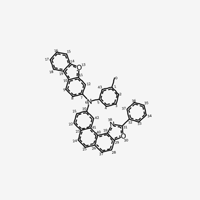 Cc1cccc(N(c2ccc3c(c2)oc2ccccc23)c2ccc3ccc4ccc5oc(-c6ccccc6)nc5c4c3c2)c1